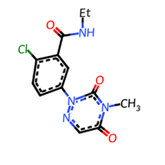 CCNC(=O)c1cc(-n2ncc(=O)n(C)c2=O)ccc1Cl